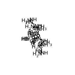 Br.Br.C[C@H](NCCNc1ccc(NCCN[C@@H](C)C(=O)N[C@@H](CCCNC(=N)N)C(N)=O)c2c1C(=O)c1c(OC(=O)C(F)(F)F)ccc(OC(=O)C(F)(F)F)c1C2=O)C(=O)N[C@@H](CCCNC(=N)N)C(N)=O